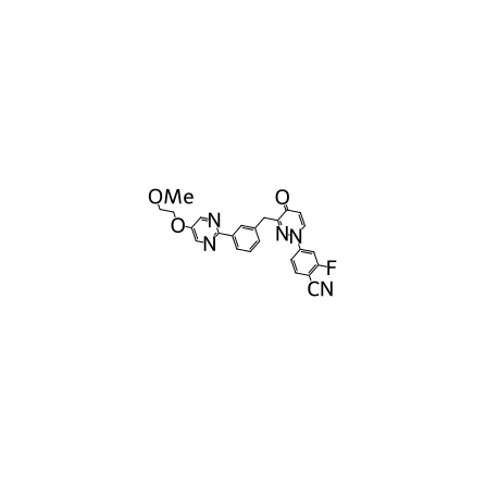 COCCOc1cnc(-c2cccc(Cc3nn(-c4ccc(C#N)c(F)c4)ccc3=O)c2)nc1